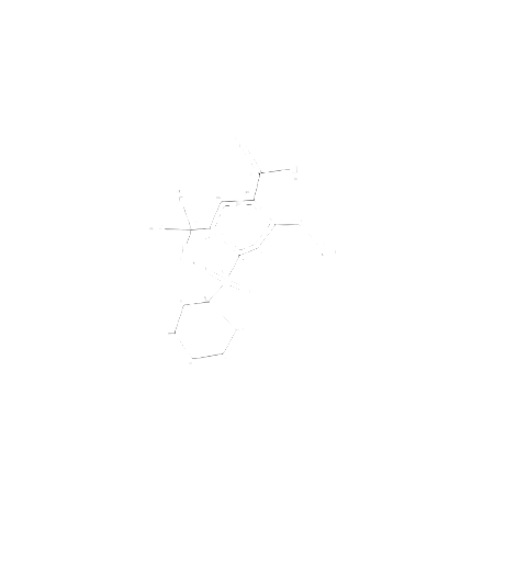 CCc1cc(S(=O)(=O)C2CCCCC2)c(C(F)(F)F)cc1C(=O)Cl